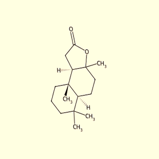 CC1(C)CCC[C@@]2(C)[C@H]1CCC1(C)OC(=O)C[C@@H]12